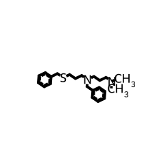 CN(C)CCCN(CCCSCc1ccccc1)Cc1ccccc1